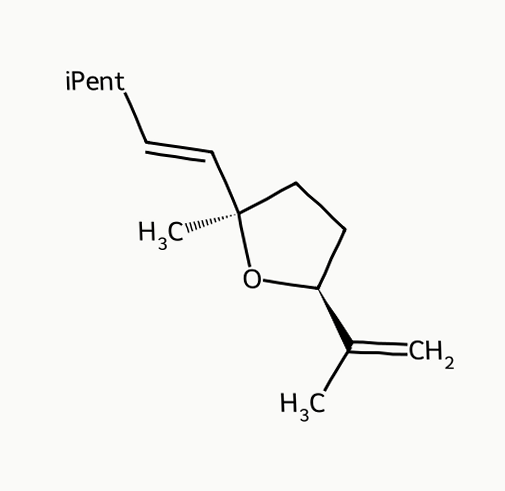 C=C(C)[C@@H]1CC[C@](C)(/C=C/C(C)CCC)O1